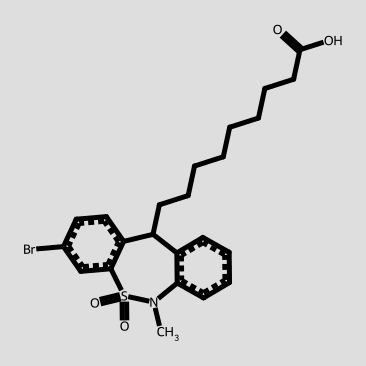 CN1c2ccccc2C(CCCCCCCCC(=O)O)c2ccc(Br)cc2S1(=O)=O